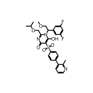 COCC(c1cc(F)cc(F)c1)n1c(COC(C)C)nc(=O)c(S(=O)(=O)c2ccc(-c3cccnc3C)cc2)c1O